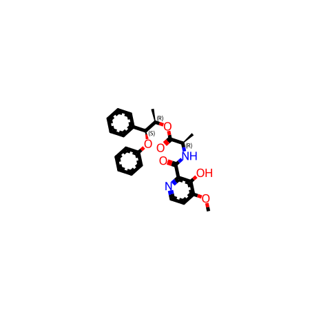 COc1ccnc(C(=O)N[C@H](C)C(=O)O[C@H](C)[C@@H](Oc2ccccc2)c2ccccc2)c1O